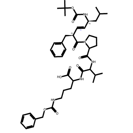 CC(C)C[C@@H](/C=C/[C@H](Cc1ccccc1)C(=O)N1CCCC1C(=O)NC(C(=O)NC(CCCNC(=O)OCc1ccccc1)C(=O)O)C(C)C)NC(=O)OC(C)(C)C